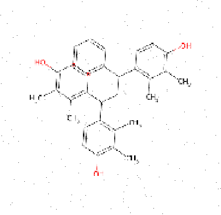 Cc1c(O)ccc(C(CC(c2ccc(O)c(C)c2C)c2ccc(O)c(C)c2C)c2ccccc2)c1C